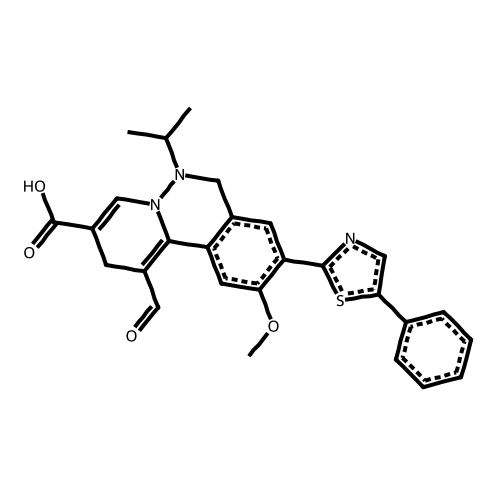 COc1cc2c(cc1-c1ncc(-c3ccccc3)s1)CN(C(C)C)N1C=C(C(=O)O)CC(C=O)=C21